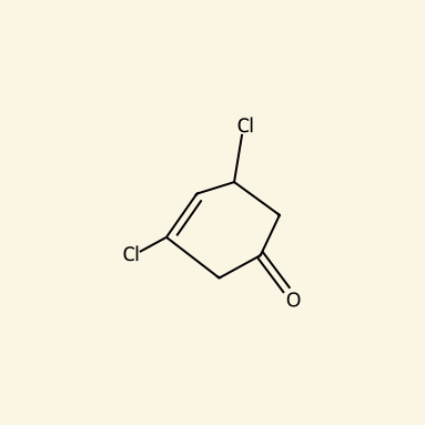 O=C1CC(Cl)=CC(Cl)C1